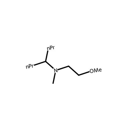 CCCC(CCC)N(C)CCOC